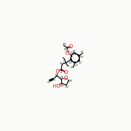 C#CC(OC(=O)CC(C)(C)c1c(C)cc(C)cc1OC(C)=O)C1OCCC1O